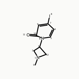 CN1CC(n2ccc(I)cc2=O)C1